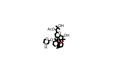 CC(=O)O[C@@H](C1C[C@@H](C)[C@H]2C(O1)[C@H](O)C(C)(C)[C@]2(C)CCC12CCC[C@H]3C(C)(C)[C@@H](O[C@H]4CNCCO4)CC[C@@]31C2)C(C)(C)O